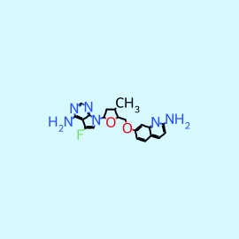 CC1CC(n2cc(F)c3c(N)ncnc32)OC1COc1ccc2ccc(N)nc2c1